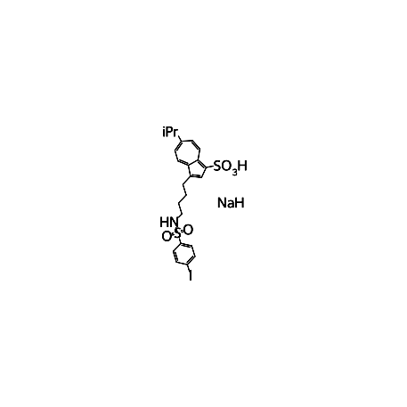 CC(C)c1ccc2c(CCCCNS(=O)(=O)c3ccc(I)cc3)cc(S(=O)(=O)O)c-2cc1.[NaH]